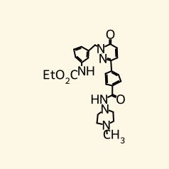 CCOC(=O)Nc1cccc(Cn2nc(-c3ccc(C(=O)NN4CCN(C)CC4)cc3)ccc2=O)c1